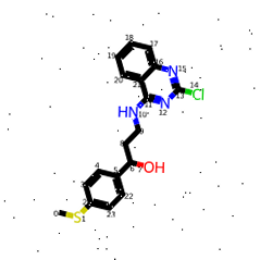 CSc1ccc(C(O)CCNc2nc(Cl)nc3ccccc23)cc1